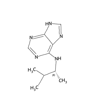 CC(C)[C@@H](C)Nc1ncnc2[nH]cnc12